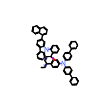 C/C=C(\C=C/C(I)c1ccccc1-n1c2ccccc2c2ccc(-c3cccc4ccccc34)cc21)c1ccc(N(c2ccc(C3=CCCC=C3)cc2)c2ccc(-c3ccccc3)cc2)cc1